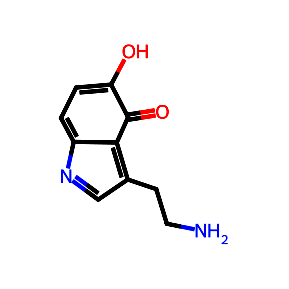 NCCC1=C2C(=O)C(O)=CC=C2N=C1